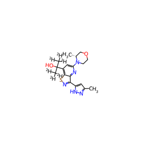 [2H]C([2H])([2H])C(O)(c1cc(N2CCOC[C@H]2C)nc2c(-c3cc(C)n[nH]3)nsc12)C([2H])([2H])[2H]